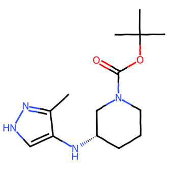 Cc1n[nH]cc1N[C@H]1CCCN(C(=O)OC(C)(C)C)C1